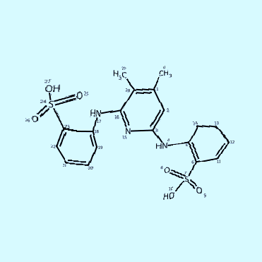 Cc1cc(NC2=C(S(=O)(=O)O)C=CCC2)nc(Nc2ccccc2S(=O)(=O)O)c1C